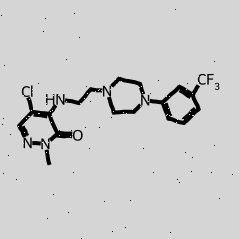 Cn1ncc(Cl)c(NCCN2CCN(c3cccc(C(F)(F)F)c3)CC2)c1=O